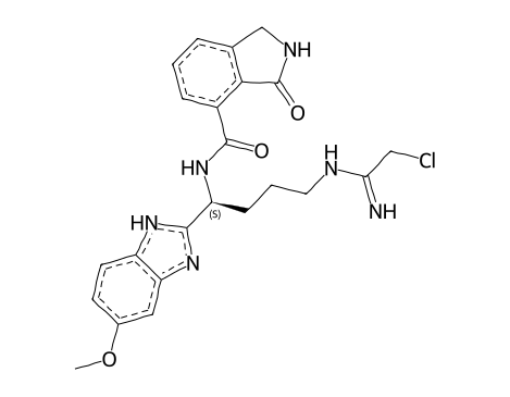 COc1ccc2[nH]c([C@H](CCCNC(=N)CCl)NC(=O)c3cccc4c3C(=O)NC4)nc2c1